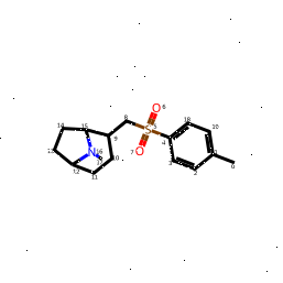 Cc1ccc(S(=O)(=O)CC2CCC3CCC2N3C)cc1